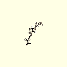 C=C(C)C(=O)OCCNC(=O)C(F)(F)SNSC(F)(F)F